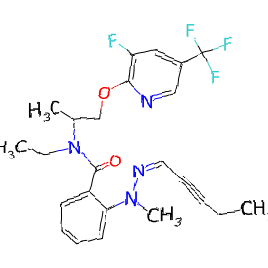 CCC#C/C=N\N(C)c1ccccc1C(=O)N(CC)C(C)COc1ncc(C(F)(F)F)cc1F